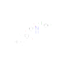 O=C(NCCc1ccc(CF)cc1Cl)c1ccc(Oc2cc3c(cc2Cl)C(C(=O)O)CCO3)cc1